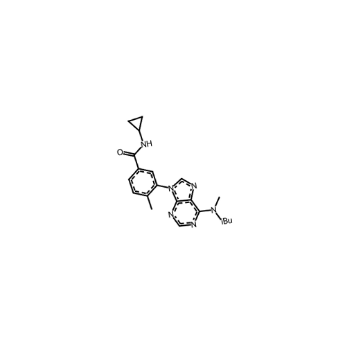 CCC(C)N(C)c1ncnc2c1ncn2-c1cc(C(=O)NC2CC2)ccc1C